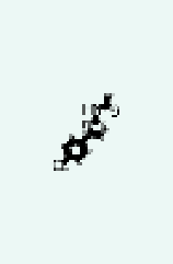 CC(=O)Nc1nc(-c2ccc(Cl)cc2)cs1